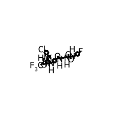 O=C(NCCCNC(=O)c1ccc(Nc2nc(NC3(c4ccc(Cl)cc4)CC3)nc(OCC(F)(F)F)n2)cc1)C(=O)NCc1ccc(F)cc1